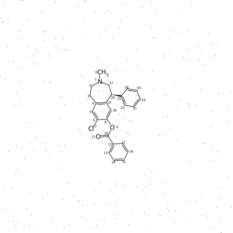 CN1CCc2cc(Cl)c(OC(=O)c3ccccc3)cc2[C@H](c2ccccc2)C1